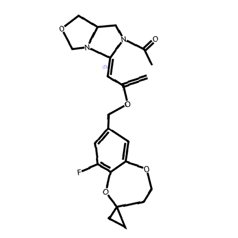 C=C(/C=C1\N(C(C)=O)CC2COCN12)OCc1cc(F)c2c(c1)OCCC1(CC1)O2